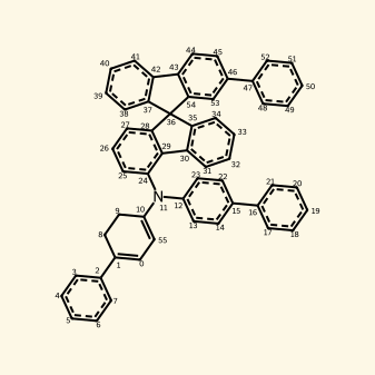 C1=C(c2ccccc2)CCC(N(c2ccc(-c3ccccc3)cc2)c2cccc3c2-c2ccccc2C32c3ccccc3-c3ccc(-c4ccccc4)cc32)=C1